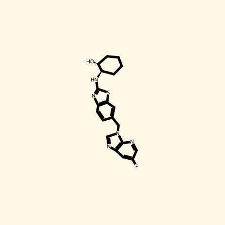 O[C@@H]1CCCC[C@H]1Nc1nc2ccc(Cn3cnc4cc(F)cnc43)cc2s1